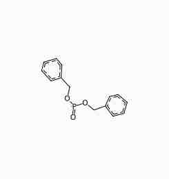 O=[P](OCc1ccccc1)OCc1ccccc1